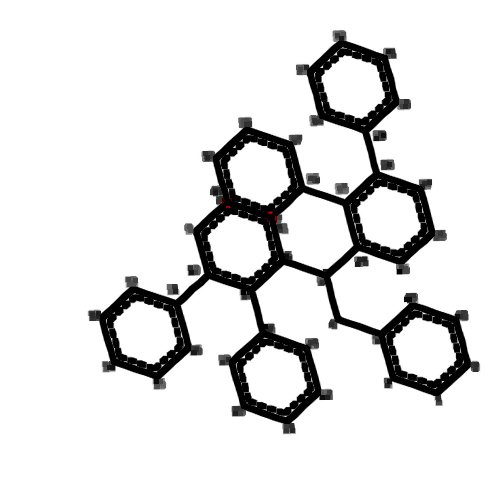 c1ccc(C[C](c2cccc(-c3ccccc3)c2-c2ccccc2)c2cccc(-c3ccccc3)c2-c2ccccc2)cc1